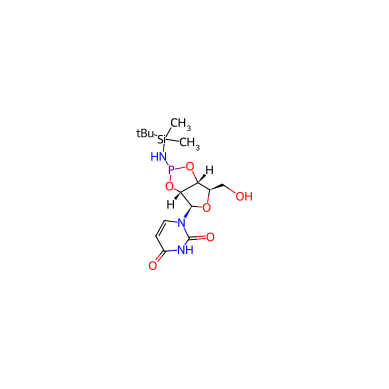 CC(C)(C)[Si](C)(C)NP1O[C@@H]2[C@H](O1)[C@@H](CO)O[C@H]2n1ccc(=O)[nH]c1=O